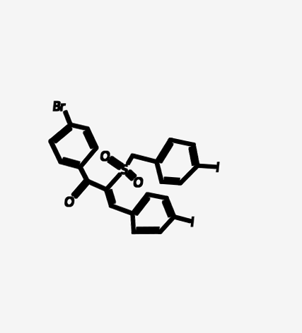 O=C(C(=Cc1ccc(I)cc1)S(=O)(=O)Cc1ccc(I)cc1)c1ccc(Br)cc1